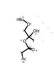 CCCCOCC(C)(O)OC(=O)CC(C)=O